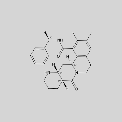 Cc1cc2c(c(C(=O)N[C@H](C)c3ccccc3)c1C)[C@@H]1C[C@H]3NCCC[C@H]3C(=O)N1CC2